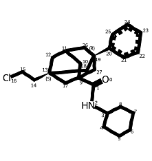 O=C(NC1CCCCC1)C12CC3C[C@@](CCCl)(C1)C[C@](c1ccccc1)(C3)C2